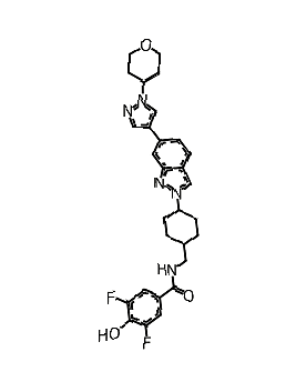 O=C(NCC1CCC(n2cc3ccc(-c4cnn(C5CCOCC5)c4)cc3n2)CC1)c1cc(F)c(O)c(F)c1